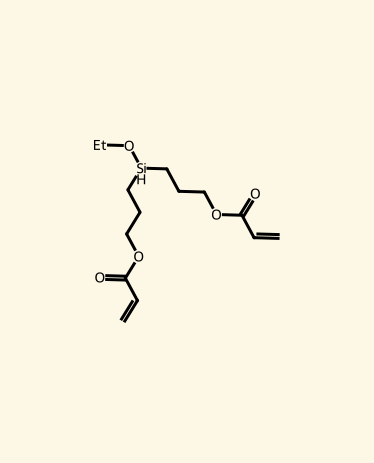 C=CC(=O)OCCC[SiH](CCCOC(=O)C=C)OCC